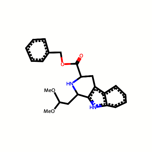 COC(CC1NC(C(=O)OCc2ccccc2)Cc2c1[nH]c1ccccc21)OC